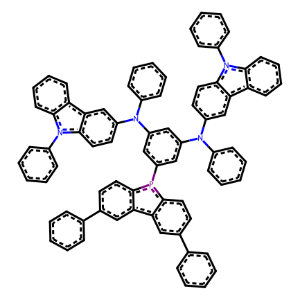 c1ccc(-c2ccc3c(c2)c2cc(-c4ccccc4)ccc2p3-c2cc(N(c3ccccc3)c3ccc4c(c3)c3ccccc3n4-c3ccccc3)cc(N(c3ccccc3)c3ccc4c(c3)c3ccccc3n4-c3ccccc3)c2)cc1